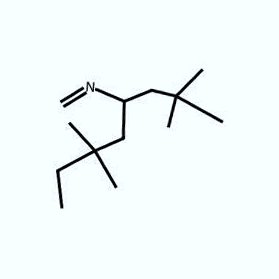 C=NC(CC(C)(C)C)CC(C)(C)CC